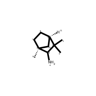 CC1(C)C(N)[C@@]2(C)CC[C@@H]1C2